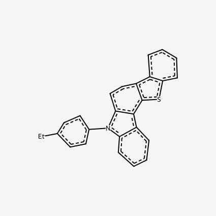 CCc1ccc(-n2c3ccccc3c3c4sc5ccccc5c4ccc32)cc1